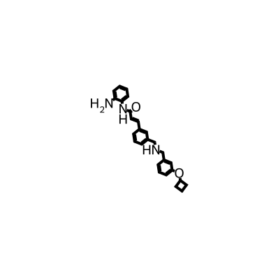 Nc1ccccc1NC(=O)/C=C/c1cccc(CNCc2cccc(OC3CCC3)c2)c1